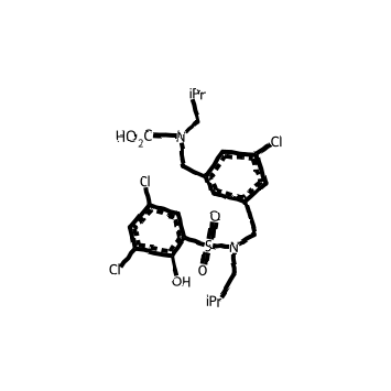 CC(C)CN(Cc1cc(Cl)cc(CN(CC(C)C)S(=O)(=O)c2cc(Cl)cc(Cl)c2O)c1)C(=O)O